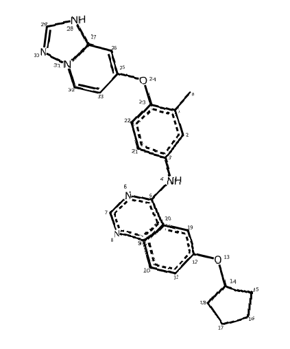 Cc1cc(Nc2ncnc3ccc(OC4CCCC4)cc23)ccc1OC1=CC2NC=NN2C=C1